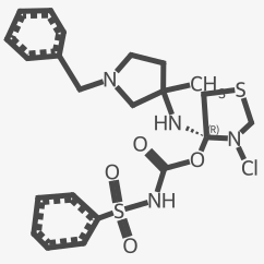 CC1(N[C@]2(OC(=O)NS(=O)(=O)c3ccccc3)CSCN2Cl)CCN(Cc2ccccc2)C1